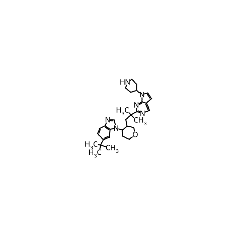 CC(C)(C)c1ccc2ncn(C3CCOCC3CC(C)(C)c3ncc4ccn(C5CCNCC5)c4n3)c2c1